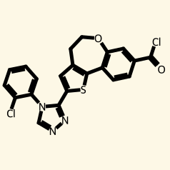 O=C(Cl)c1ccc2c(c1)OCCc1cc(-c3nncn3-c3ccccc3Cl)sc1-2